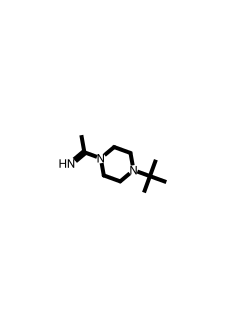 CC(=N)N1CCN(C(C)(C)C)CC1